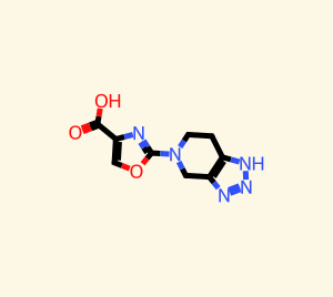 O=C(O)c1coc(N2CCc3[nH]nnc3C2)n1